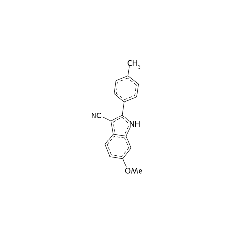 COc1ccc2c(C#N)c(-c3ccc(C)cc3)[nH]c2c1